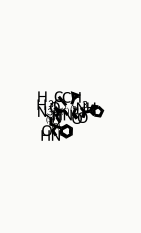 CC(C)(C)C[C@H](NC(=O)[C@H](CC1CC1)NC(=O)C1CC2CCC1C2)C(=O)N1C[C@]2(C[C@H]1C#N)C(=O)Nc1ccccc12